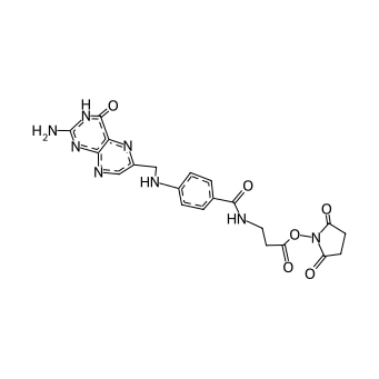 Nc1nc2ncc(CNc3ccc(C(=O)NCCC(=O)ON4C(=O)CCC4=O)cc3)nc2c(=O)[nH]1